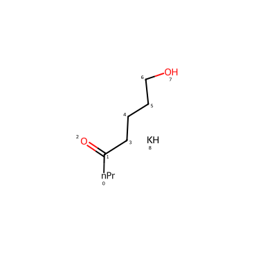 CCCC(=O)CCCCO.[KH]